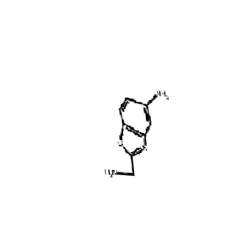 NCc1nc2cc(N)ccc2o1